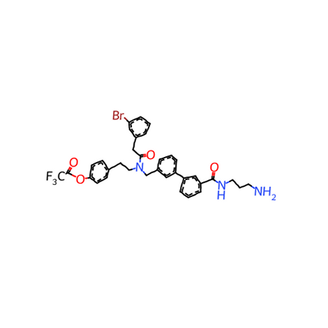 NCCCNC(=O)c1cccc(-c2cccc(CN(CCc3ccc(OC(=O)C(F)(F)F)cc3)C(=O)Cc3cccc(Br)c3)c2)c1